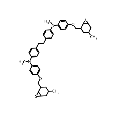 CC1CC(COc2ccc(N(C)c3ccc(CCc4ccc(N(C)c5ccc(OCC6CC(C)CC7SC67)cc5)cc4)cc3)cc2)C2SC2C1